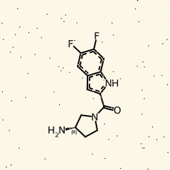 N[C@@H]1CCN(C(=O)c2cc3cc(F)c(F)cc3[nH]2)C1